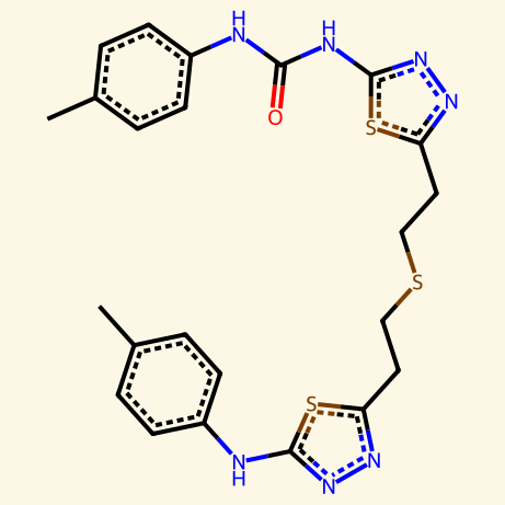 Cc1ccc(NC(=O)Nc2nnc(CCSCCc3nnc(Nc4ccc(C)cc4)s3)s2)cc1